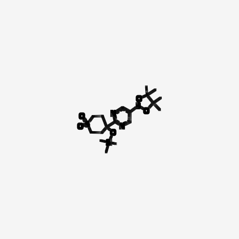 CC1(C)OB(c2cnc(C3(O[Si](C)(C)C)CCS(=O)(=O)CC3)nc2)OC1(C)C